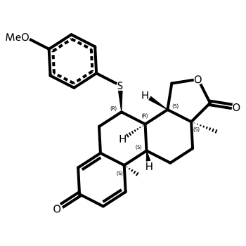 COc1ccc(S[C@@H]2CC3=CC(=O)C=C[C@]3(C)[C@H]3CC[C@]4(C)C(=O)OC[C@H]4[C@H]23)cc1